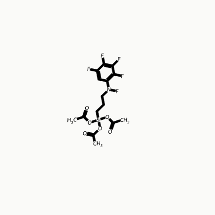 CC(=O)O[Si](CCCN(F)c1cc(F)c(F)c(F)c1F)(OC(C)=O)OC(C)=O